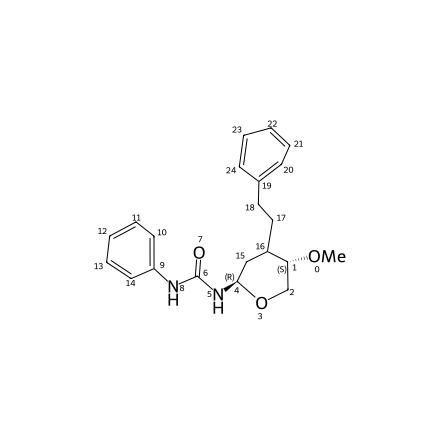 CO[C@@H]1CO[C@@H](NC(=O)Nc2ccccc2)CC1CCc1ccccc1